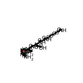 CNC(=O)CCOCCOCCOCCOCCNC(=O)CCCC(=O)NCCCN(CCCNC(=O)CCC(NC(=O)c1ccc(N(C)Cc2cnc3nc(N)nc(N)c3n2)cc1)C(=O)OC(C)(C)C)C(=O)CCC(=O)O